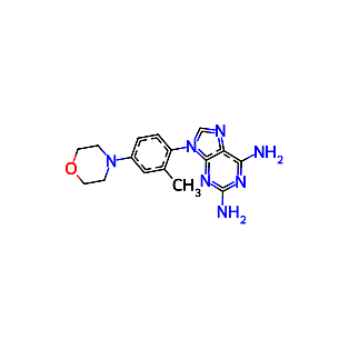 Cc1cc(N2CCOCC2)ccc1-n1cnc2c(N)nc(N)nc21